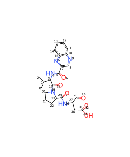 CC(C)C(NC(=O)c1cnc2ccccc2n1)C(=O)N1CCCC1C(=O)NC(C=O)CC(=O)O